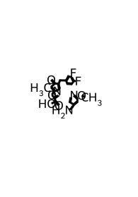 COc1cc(CN)ccn1.Cc1c(=O)c(Cc2ccc(F)c(F)c2)cn2cc(C(=O)O)oc12